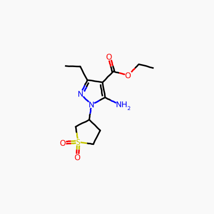 CCOC(=O)c1c(CC)nn(C2CCS(=O)(=O)C2)c1N